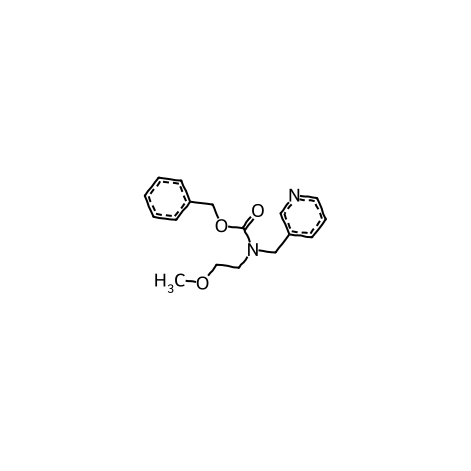 COCCN(Cc1cccnc1)C(=O)OCc1ccccc1